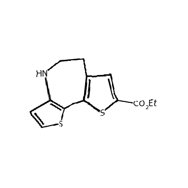 CCOC(=O)c1cc2c(s1)-c1sccc1NCC2